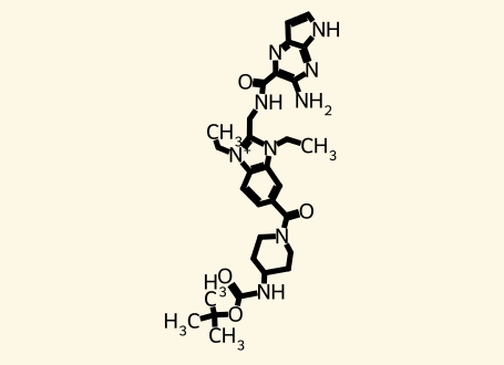 CCn1c(CNC(=O)c2nc3cc[nH]c3nc2N)[n+](CC)c2ccc(C(=O)N3CCC(NC(=O)OC(C)(C)C)CC3)cc21